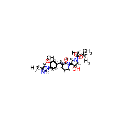 COc1cc(/C=C2\CCCN([C@@H]3CN(C(=O)OC(C)(C)C)C[C@@H]3O)C2=O)ccc1-n1cnc(C)c1